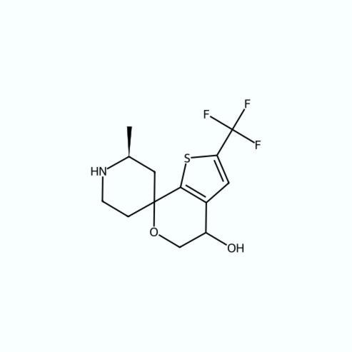 C[C@H]1CC2(CCN1)OCC(O)c1cc(C(F)(F)F)sc12